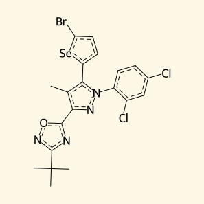 Cc1c(-c2nc(C(C)(C)C)no2)nn(-c2ccc(Cl)cc2Cl)c1-c1ccc(Br)[se]1